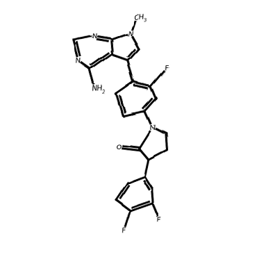 Cn1cc(-c2ccc(N3CCC(c4ccc(F)c(F)c4)C3=O)cc2F)c2c(N)ncnc21